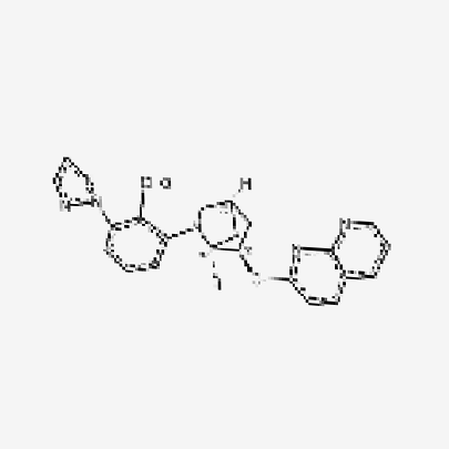 O=Cc1c(N2C[C@H]3C[C@@H](Oc4ccc5cccnc5n4)[C@@H]2C3)cccc1-n1nccn1